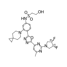 Cc1cc(-c2nnc(-c3ccc(NS(=O)(=O)CCO)cc3N3CCC4(CC3)CC4)o2)nc(N2C[C@@H](F)[C@@H](F)C2)n1